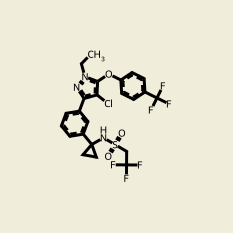 CCn1nc(-c2cccc(C3(NS(=O)(=O)CC(F)(F)F)CC3)c2)c(Cl)c1Oc1ccc(C(F)(F)F)cc1